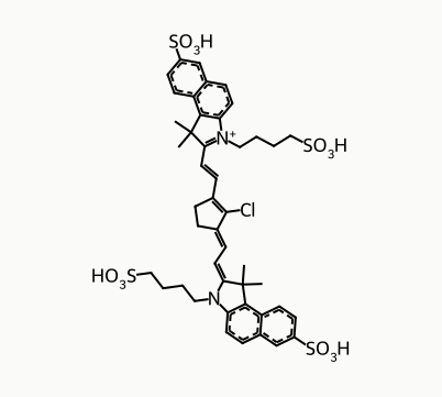 CC1(C)C(/C=C/C2=C(Cl)C(=C/C=C3/N(CCCCS(=O)(=O)O)c4ccc5cc(S(=O)(=O)O)ccc5c4C3(C)C)/CC2)=[N+](CCCCS(=O)(=O)O)c2ccc3cc(S(=O)(=O)O)ccc3c21